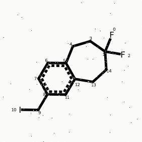 FC1(F)CCc2ccc(CI)cc2CC1